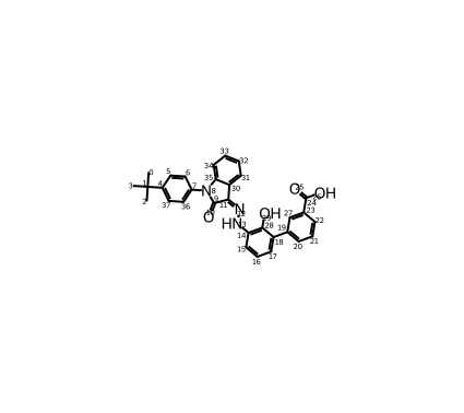 CC(C)(C)c1ccc(N2C(=O)/C(=N\Nc3cccc(-c4cccc(C(=O)O)c4)c3O)c3ccccc32)cc1